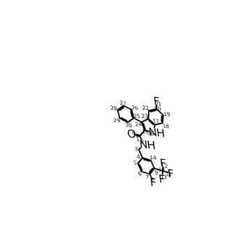 O=C(NCc1ccc(F)c(C(F)(F)F)c1)c1[nH]c2ccc(F)cc2c1-c1ccccc1